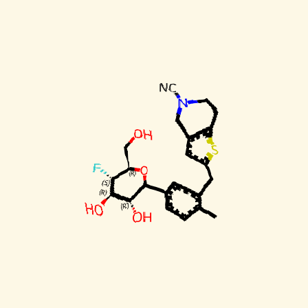 Cc1ccc(C2O[C@H](CO)[C@@H](F)[C@H](O)[C@H]2O)cc1Cc1cc2c(s1)CCN(C#N)C2